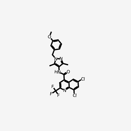 COc1cccc(Cn2nc(C)c(NC(=O)c3cc(C(F)(F)F)nc4c(Cl)cc(Cl)cc34)c2C)c1